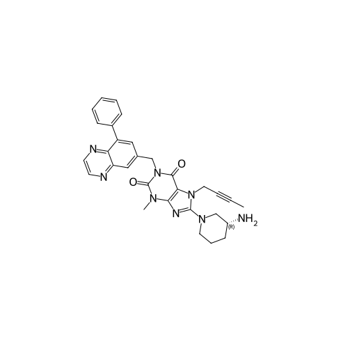 CC#CCn1c(N2CCC[C@@H](N)C2)nc2c1c(=O)n(Cc1cc(-c3ccccc3)c3nccnc3c1)c(=O)n2C